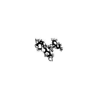 Fc1c(Cl)ncc2c(N3CCOC[C@H]4CC[C@H]43)nc(OC[C@@]34CCCN3C[C@H](F)C4)nc12